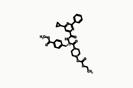 CCOC(=O)ON1CCN(C(=O)[C@H](Cc2ccc(C(=O)OC)cc2)NC(=O)c2cc(C3CC3)nc(-c3ccccc3)n2)CC1